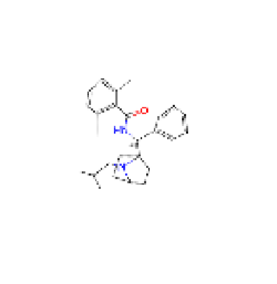 Cc1cccc(C)c1C(=O)N[C@H](c1ccccc1)C12CCC(CC1)N2CC(C)C